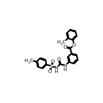 Cc1ccc(S(=O)(=O)NC(=O)Nc2cccc(C(=O)Oc3ccccc3C)c2)cc1